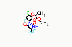 CCOC(=O)C(C)Oc1cc(-n2c(=O)cc(C(F)(F)F)[nH]c2=O)c(F)cc1Cl